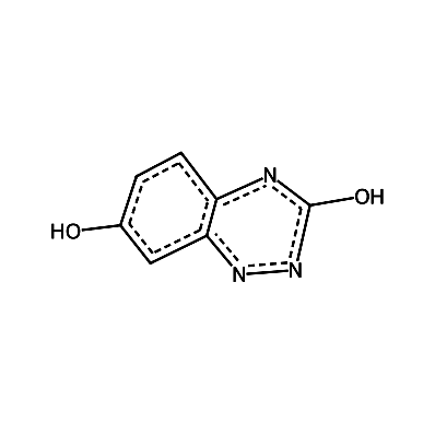 Oc1ccc2nc(O)nnc2c1